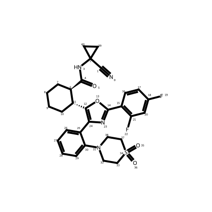 N#CC1(NC(=O)[C@@H]2CCCC[C@H]2c2oc(-c3ccc(F)cc3F)nc2-c2ccccc2N2CCS(=O)(=O)CC2)CC1